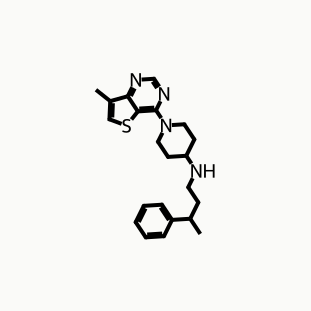 Cc1csc2c(N3CCC(NCCC(C)c4ccccc4)CC3)ncnc12